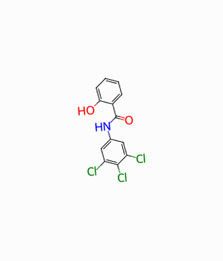 O=C(Nc1cc(Cl)c(Cl)c(Cl)c1)c1ccccc1O